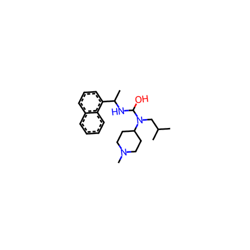 CC(C)CN(C1CCN(C)CC1)C(O)NC(C)c1cccc2ccccc12